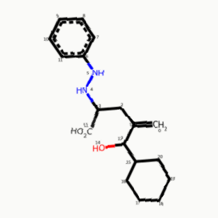 C=C(CC(NNc1ccccc1)C(=O)O)C(O)C1CCCCC1